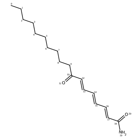 CCCCCCCCCCC(=O)C=CC=CC=CC(N)=O